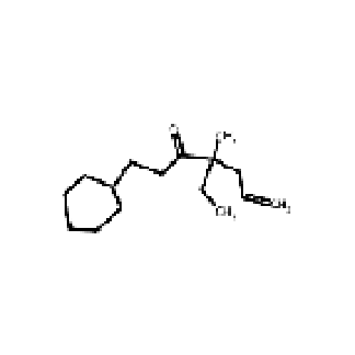 C=CCC(C)(CC)C(=O)CCC1CCCCC1